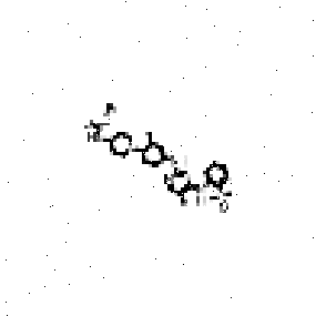 Cc1cc(Nc2ncc(C)c(Nc3ccccc3P(C)(C)=O)n2)ccc1N1CCC(NC(=O)OC(C)(C)C)CC1